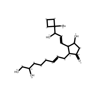 CCCCC1(C(O)C=CC2C(O)CC(=O)C2CC=CCCCC(O)CO)CCC1